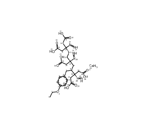 CCOc1ccc(CC(CC(CCC(CC(=O)O)(CC(=O)O)N=N)(CC(=O)O)N=N)C(CC(=O)O)(CC(=O)O)N=N)cc1.[CaH2]